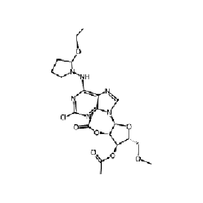 CCOC1CCCN1Nc1nc(Cl)nc2c1ncn2[C@H]1O[C@H](COC)[C@@H](OC(C)=O)[C@H]1OC(C)=O